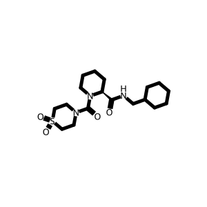 O=C(NCC1CCCCC1)[C@@H]1CCCCN1C(=O)N1CCS(=O)(=O)CC1